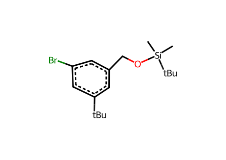 CC(C)(C)c1cc(Br)cc(CO[Si](C)(C)C(C)(C)C)c1